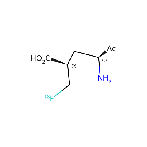 CC(=O)[C@@H](N)C[C@@H](C[18F])C(=O)O